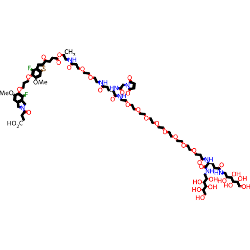 COc1cc2c(c(F)c1OCCCOc1c(OC)cc3sc(C(=O)CCC(=O)O[C@@H](C)CNC(=O)CCOCCOCCNC(=O)CC[C@H](NC(=O)CN4C(=O)C=CC4=O)C(=O)NCCOCCOCCOCCOCCOCCOCCOCCOCCC(=O)N[C@@H](CCC(=O)NC[C@H](O)[C@@H](O)[C@H](O)[C@H](O)CO)C(=O)NC[C@H](O)[C@@H](O)[C@H](O)[C@H](O)CO)cc3c1F)CN(C(=O)CCC(=O)O)C2